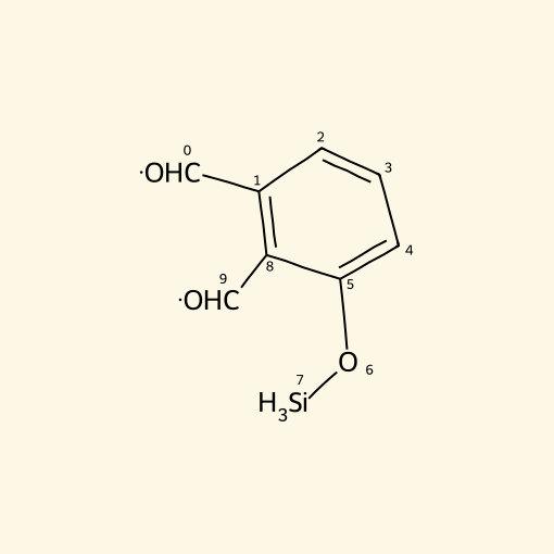 O=[C]c1cccc(O[SiH3])c1[C]=O